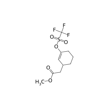 COC(=O)CC1C=C(OS(=O)(=O)C(F)(F)F)CCC1